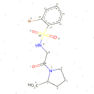 O=C(O)C1CCCN1C(=O)CNS(=O)(=O)c1ccccc1Br